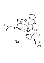 Cc1cc(OCC(=O)O)cc(C)c1S(=O)(=O)n1c([S+]([O-])Cc2nccc(OCC(F)(F)F)c2C)nc2ccccc21.[Na]